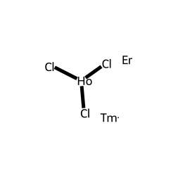 [Cl][Ho]([Cl])[Cl].[Er].[Tm]